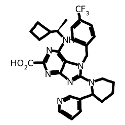 C[C@@H](Nc1nc(C(=O)O)nc2nc(N3CCCCC3c3cccnc3)n(Cc3ccc(C(F)(F)F)cc3)c12)C1CCC1